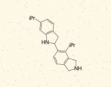 CC(C)c1ccc2c(c1)NC(c1ccc3c(c1C(C)C)CNC3)C2